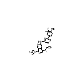 C[C@@H]1[C@H](F)CN1c1ncc([C@@H](C)CO)c2cc(Nc3ccnc(N4CC[C@@H](O)[C@@](C)(F)C4)n3)ncc12